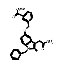 COC(=O)c1cccc(COc2ccc3c(c2)c(CC(N)=O)c(C)n3Cc2ccccc2)c1